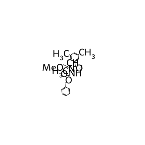 COCC(C)(C)N(NC(=O)OCc1ccccc1)C(=O)c1cc(C)cc(C)c1